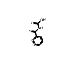 O=C(O)NC(=O)c1cccnn1